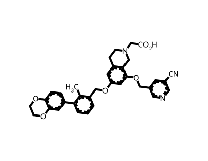 Cc1c(COc2cc3c(c(OCc4cncc(C#N)c4)c2)CN(CC(=O)O)CC3)cccc1-c1ccc2c(c1)OCCO2